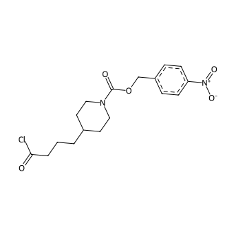 O=C(Cl)CCCC1CCN(C(=O)OCc2ccc([N+](=O)[O-])cc2)CC1